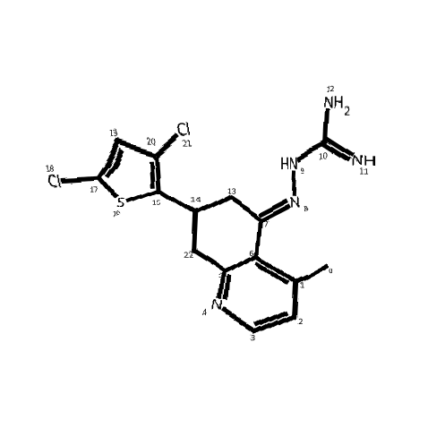 Cc1ccnc2c1C(=NNC(=N)N)CC(c1sc(Cl)cc1Cl)C2